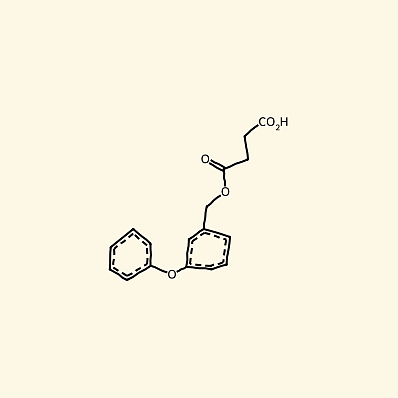 O=C(O)CCC(=O)OCc1cccc(Oc2ccccc2)c1